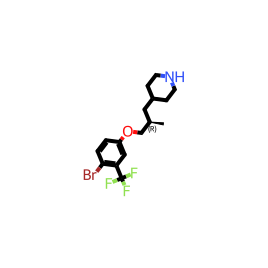 C[C@@H](COc1ccc(Br)c(C(F)(F)F)c1)CC1CCNCC1